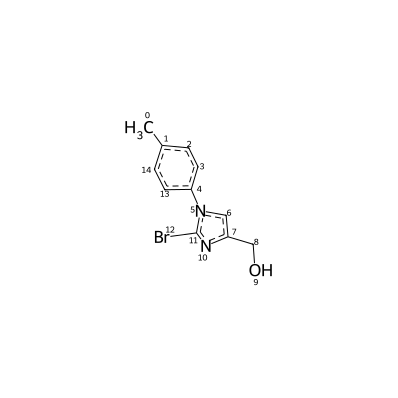 Cc1ccc(-n2cc(CO)nc2Br)cc1